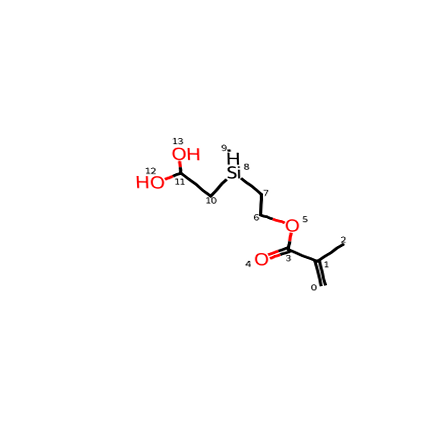 C=C(C)C(=O)OCC[SiH](C)CC(O)O